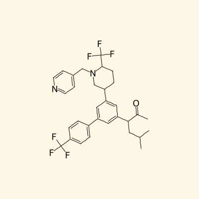 CC(=O)C(CC(C)C)c1cc(-c2ccc(C(F)(F)F)cc2)cc(C2CCC(C(F)(F)F)N(Cc3ccncc3)C2)c1